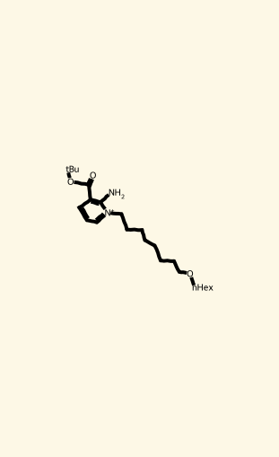 CCCCCCOCCCCCCCC[n+]1cccc(C(=O)OC(C)(C)C)c1N